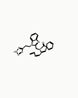 C=C/C=C\C1=CC2(C=CC=CC2)C(=O)N1Cc1nc2ccccc2n1CCc1nn[nH]n1